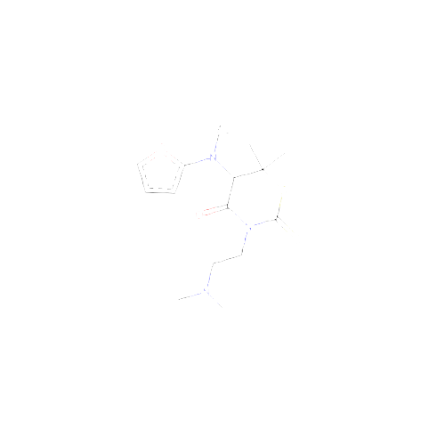 CC(=O)N(c1ccco1)C1C(=O)N(CCN(C)C)C(=S)SC1(C)C